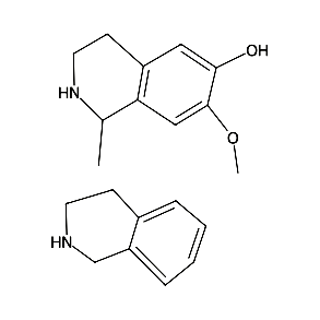 COc1cc2c(cc1O)CCNC2C.c1ccc2c(c1)CCNC2